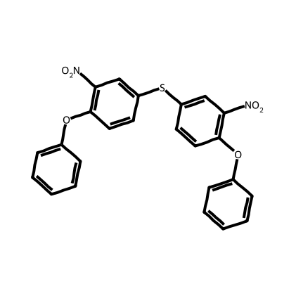 O=[N+]([O-])c1cc(Sc2ccc(Oc3ccccc3)c([N+](=O)[O-])c2)ccc1Oc1ccccc1